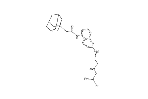 CCC(CNCCNc1ccc2c(NC(=O)CC34CC5CC(CC(C5)C3)C4)cccc2n1)C(C)C